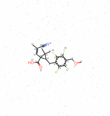 COCc1c(F)c(F)c(CC2C(C)(C)C2(C=C(C)C#N)C(=O)O)c(F)c1F